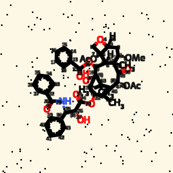 CO[C@H]1C[C@H]2OC[C@@]2(OC(C)=O)[C@H]2[C@H](OC(=O)c3ccccc3)[C@]3(O)C[C@H](OC(=O)[C@H](O)[C@@H](NC(=O)c4ccccc4)c4ccccc4)C(C)=C([C@@H](OC(C)=O)C(=O)[C@]12C)C3(C)C